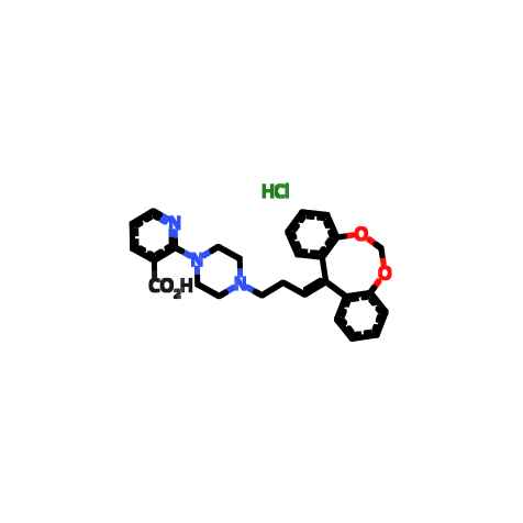 Cl.O=C(O)c1cccnc1N1CCN(CCC=C2c3ccccc3OCOc3ccccc32)CC1